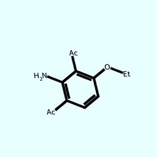 CCOc1ccc(C(C)=O)c(N)c1C(C)=O